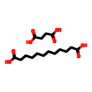 O=C(O)CCC(=O)O.O=C(O)CCCCCCCCCCC(=O)O